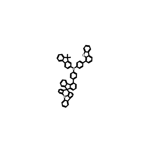 CC1(C)c2ccccc2-c2ccc(N(c3ccc(-c4cccc5c4-c4ccccc4C54c5ccccc5-n5c6ccccc6c6cccc4c65)cc3)c3ccc(-c4cccc5c4oc4ccccc45)cc3)cc21